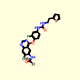 CCC(=O)Nc1cc2c(Oc3ccc(NC(=O)NCCc4cccs4)cc3F)ncnc2cc1OC